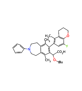 Cc1c(-c2c(C)c3c(c(C)c2C(OC(C)(C)C)C(=O)O)CCN(c2ccccc2)CC3)cc(F)c2c1CCCO2